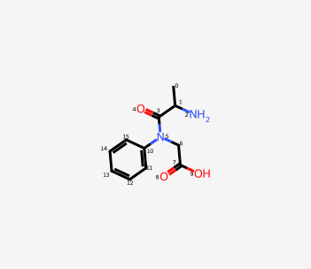 CC(N)C(=O)N(CC(=O)O)c1ccccc1